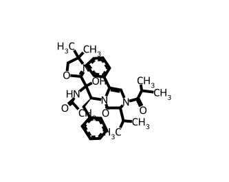 CC(=O)NC(O)(C1=NC(C)(C)CO1)[C@H](Cc1ccccc1)N1C(=O)C(C(C)C)N(C(=O)C(C)C)C=C1c1ccccc1